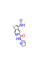 O=C(NC1CC2CCN1C2)c1cc2c(NC3CC3)csc2cn1